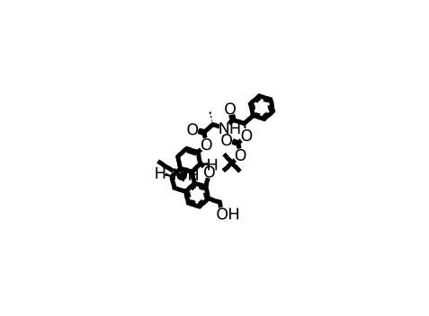 C[C@H](NC(=O)[C@@H](OC(=O)OC(C)(C)C)c1ccccc1)C(=O)OC1=CC[C@@]2(O)[C@H]3Cc4ccc(CO)c5c4[C@@]2(CCN3C)[C@H]1O5